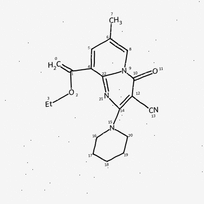 C=C(OCC)c1cc(C)cn2c(=O)c(C#N)c(N3CCCCC3)nc12